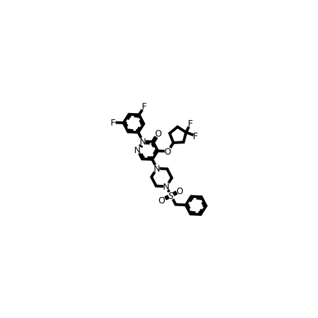 O=c1c(OC2CCC(F)(F)C2)c(N2CCN(S(=O)(=O)Cc3ccccc3)CC2)cnn1-c1cc(F)cc(F)c1